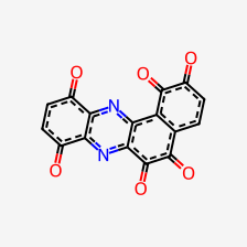 O=c1ccc2c(=O)c(=O)c3nc4c(=O)ccc(=O)c4nc3c2c1=O